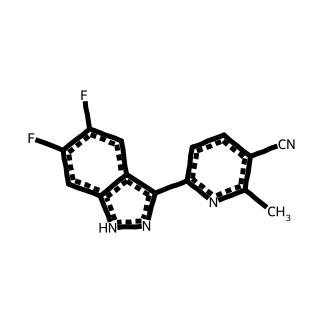 Cc1nc(-c2n[nH]c3cc(F)c(F)cc23)ccc1C#N